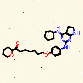 O=C(CCCCCCOc1ccc(Nc2nc3c(c(NC4CCCCC4)n2)CCN3)cc1)C1CCCCO1